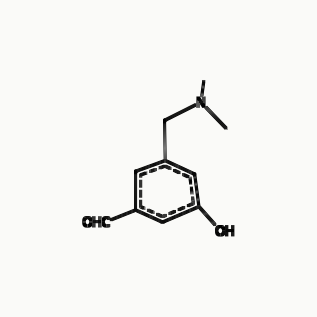 CN(C)Cc1cc(O)cc(C=O)c1